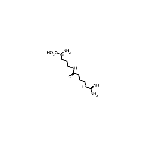 N=C(N)NCCCC(=O)NCCC[C@H](N)C(=O)O